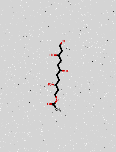 CC(=O)OCCC(O)CCC(O)CCC(O)CCO